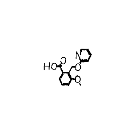 COc1cccc(C(=O)O)c1COc1ccccn1